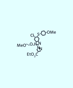 CCOC(=O)c1cnn(-c2nc3cc(Sc4ccc(OC)cc4)c(Cl)cc3n2COCCOC)c1